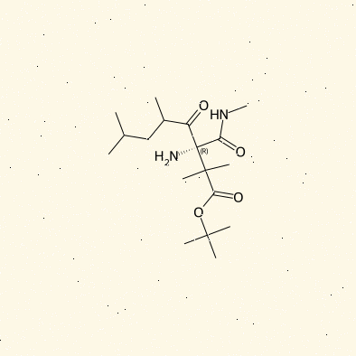 CNC(=O)[C@](N)(C(=O)C(C)CC(C)C)C(C)(C)C(=O)OC(C)(C)C